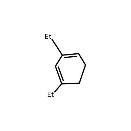 CCC1=CCCC(CC)=C1